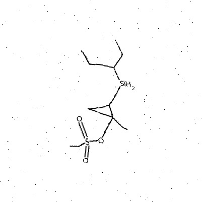 CCC(CC)[SiH2]C1CC1(C)OS(C)(=O)=O